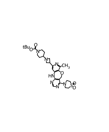 Cc1nc(C2CN(C3CCN(C(=O)OC(C)(C)C)CC3)C2)cc2c1OCc1c(ncnc1N1CCS(=O)(=O)CC1)N2